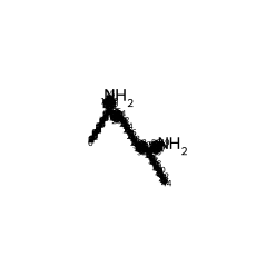 CCCCCCCCCCC(c1ccc(N)cc1)c1ccc(CCCCCCCCc2ccc(C(CCCCCCCCCC)c3ccc(N)cc3)cc2)cc1